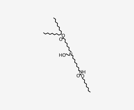 CCCCCCCCOC(=O)NCCCCCCCCN(CCO)CCCCCCCC(=O)OC(CCCCCCCC)CCCCCCCC